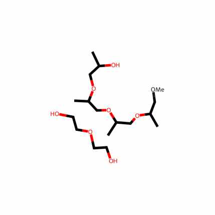 COCC(C)OCC(C)OCC(C)OCC(C)O.OCCOCCO